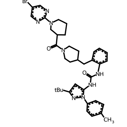 Cc1ccc(-n2nc(C(C)(C)C)cc2NC(=O)Nc2ccccc2CC2CCN(C(=O)C3CCCN(c4ncc(Br)cn4)C3)CC2)cc1